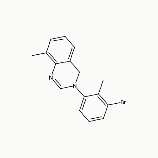 Cc1cccc2c1N=CN(c1cccc(Br)c1C)C2